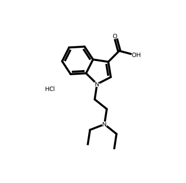 CCN(CC)CCn1cc(C(=O)O)c2ccccc21.Cl